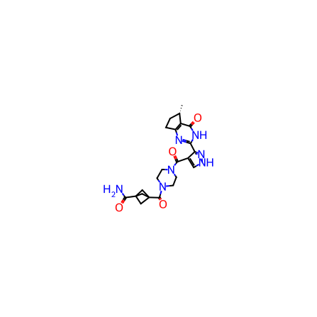 C[C@H]1CCc2nc(-c3n[nH]cc3C(=O)N3CCN(C(=O)C45CC(C(N)=O)(C4)C5)CC3)[nH]c(=O)c21